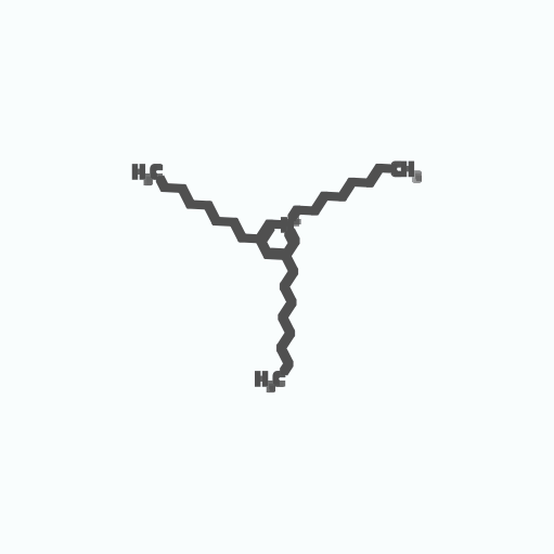 CCCCCCCCc1cc(CCCCCCCC)c[n+](CCCCCCCC)c1